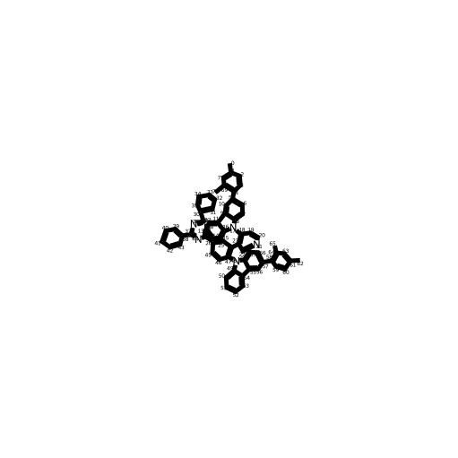 Cc1ccc(-c2ccc3c(c2)c2ccccc2n3-c2ccncc2-c2cc(-c3nc(-c4ccccc4)nc(-c4ccccc4)n3)ccc2-n2c3ccccc3c3cc(-c4ccc(C)cc4C)ccc32)c(C)c1